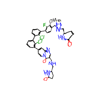 COc1c(CNC[C@H]2CCC(=O)N2)ccc(-c2cccc(-c3cccc(-c4ccn5c(=O)c(CNC[C@H]6CCC(=O)N6)cnc5c4)c3Cl)c2Cl)c1F